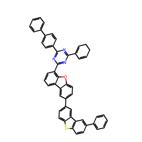 C1=CC(c2nc(-c3ccc(-c4ccccc4)cc3)nc(-c3cccc4c3oc3ccc(-c5ccc6sc7ccc(-c8ccccc8)cc7c6c5)cc34)n2)=CCC1